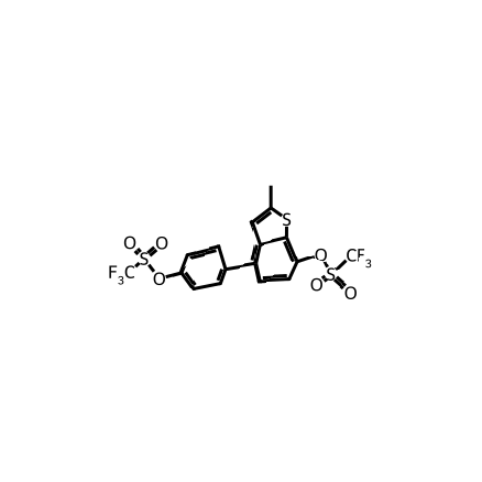 Cc1cc2c(-c3ccc(OS(=O)(=O)C(F)(F)F)cc3)ccc(OS(=O)(=O)C(F)(F)F)c2s1